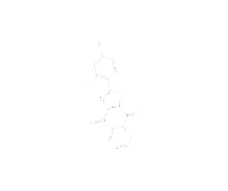 O=C1c2ccccc2C(=O)c2sc(-c3ccc(F)cc3F)nc21